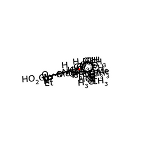 CCn1cc(C(=O)O)c(=O)c2cc(CCCOCCNCCC(=O)O[C@H]3[C@H](C)OC(O[C@H]4[C@H](C)[C@@H](OC5O[C@H](C)C[C@H](N(C)C)[C@H]5O)[C@](C)(OC)C[C@@H](C)C(=O)[C@H](C)[C@@H](O)[C@](C)(O)[C@@H](I)OC(=O)[C@@H]4C)C[C@@]3(C)OC)ccc21